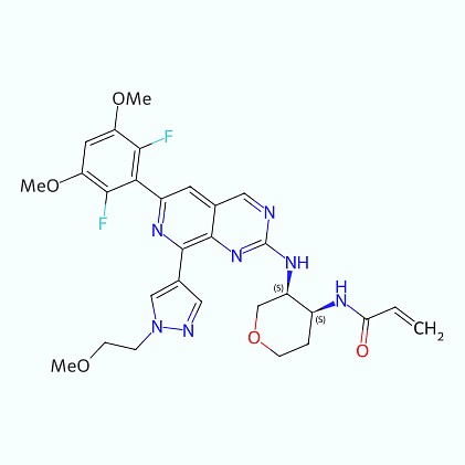 C=CC(=O)N[C@H]1CCOC[C@H]1Nc1ncc2cc(-c3c(F)c(OC)cc(OC)c3F)nc(-c3cnn(CCOC)c3)c2n1